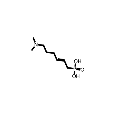 CN(C)CCCC=CCP(=O)(O)O